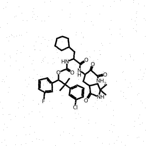 CC1(C)CC(CC(NC(=O)C(CC2CCCCC2)NC(=O)OC(c2cccc(F)c2)C(C)(C)c2cccc(Cl)c2)C(=O)C(N)=O)C(=O)N1